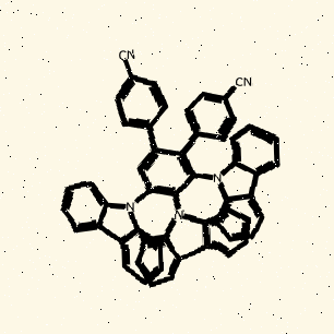 N#Cc1ccc(-c2cc(-n3c4ccccc4c4ccccc43)c(-n3c4ccccc4c4ccccc43)c(-n3c4ccccc4c4ccccc43)c2-c2ccc(C#N)cc2)cc1